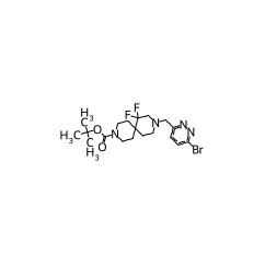 CC(C)(C)OC(=O)N1CCC2(CCN(Cc3ccc(Br)nn3)CC2(F)F)CC1